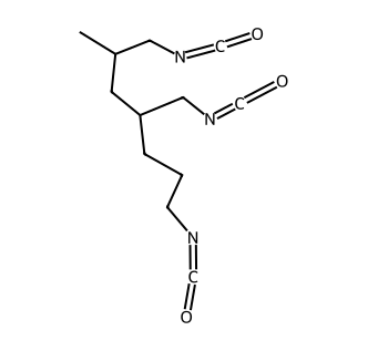 CC(CN=C=O)CC(CCCN=C=O)CN=C=O